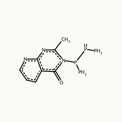 Cc1nc2ncccc2c(=O)n1P(P)PP